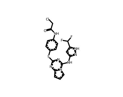 O=C(CCl)Nc1ccc(Sc2nc(Nc3cc(C(F)F)[nH]n3)n3cccc3n2)cc1